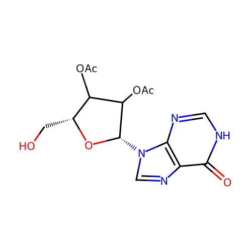 CC(=O)OC1C(OC(C)=O)[C@@H](CO)O[C@H]1n1cnc2c(=O)[nH]cnc21